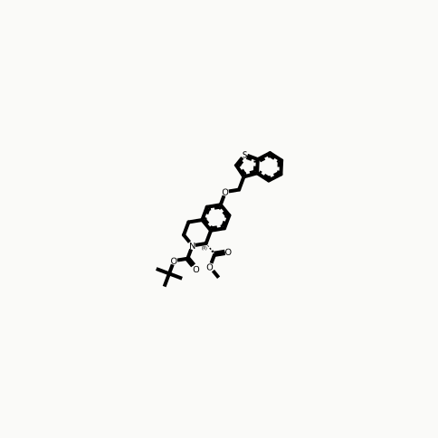 COC(=O)[C@H]1c2ccc(OCc3csc4ccccc34)cc2CCN1C(=O)OC(C)(C)C